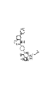 O=C(NCCC1CC1)c1nc[nH]c1C(=O)N[C@H]1CC[C@H](C(=O)Nc2cc(N3CCOCC3)ccc2Cl)CC1